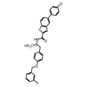 O=C(N[C@@H](Cc1ccc(OCc2cccc(F)c2)cc1)C(=O)O)c1cc2cc(-c3ccc(Cl)cc3)ccc2s1